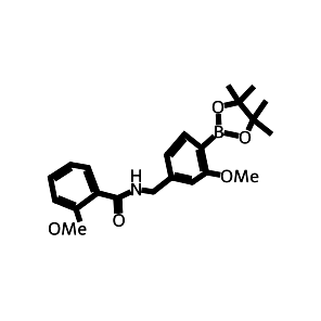 COc1cc(CNC(=O)c2ccccc2OC)ccc1B1OC(C)(C)C(C)(C)O1